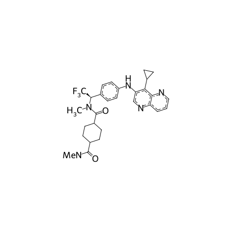 CNC(=O)C1CCC(C(=O)N(C)[C@H](c2ccc(Nc3cnc4cccnc4c3C3CC3)cc2)C(F)(F)F)CC1